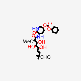 COC(C(=O)NC1CCC(OC(=O)OC2CCCCC2)CNC1=O)C(O)C(O)C(O)C=CC(C)(C)C=O